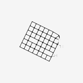 C1C2C3C4C5C6CC7C8C9C%10C%11C%12B%13[C@@H]%14C%15C%16C%17C%15%18C%14%15C%13%12C%11%12C%10%11C9%10C89C67C56C45C4C69C%106C47C48C9C35C23C1C1C2C5C%10C%13C[C@@H]%16C%13C%10%13C5(C24C193)C81C%17%13C%182C%12%15C%116C712